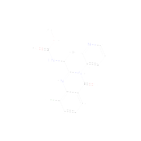 CC(NC(=O)OC(C)(C)C)c1nc2c(Cl)cccc2c(=O)n1-c1cccnc1